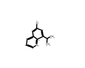 CC(C)c1cc(Cl)cc2cccnc12